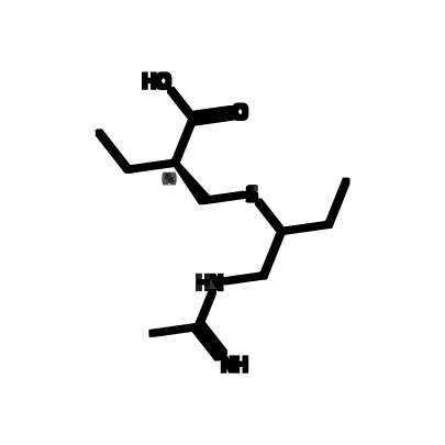 CCC(CNC(C)=N)SC[C@@H](CC)C(=O)O